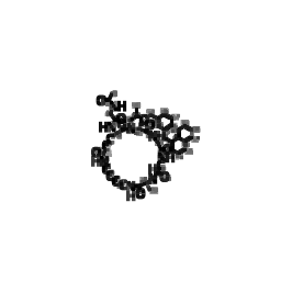 CC(=O)NCC(=O)N[C@H]1CCC(=O)NCCCCNC(=O)[C@H](C)NC(=O)CNC(=O)[C@@H](Cc2cccc3ccccc23)NC(=O)[C@H](C)N(CC(C)OCc2ccccc2)C1=O